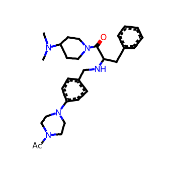 CC(=O)N1CCN(c2ccc(CNC(Cc3ccccc3)C(=O)N3CCC(N(C)C)CC3)cc2)CC1